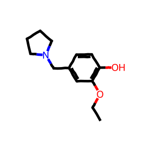 CCOc1cc(CN2CCCC2)ccc1O